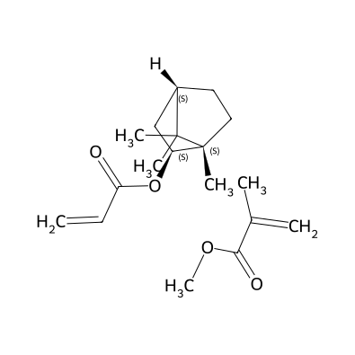 C=C(C)C(=O)OC.C=CC(=O)O[C@H]1C[C@@H]2CC[C@@]1(C)C2(C)C